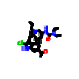 CCCN1C[C@@H](NC(=O)N(CC)CC)C[C@@H]2c3cc(C(C)=O)cc4[nH]c(Cl)c(c34)C[C@H]21